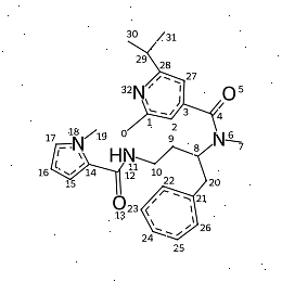 Cc1cc(C(=O)N(C)C(CCNC(=O)c2cccn2C)Cc2ccccc2)cc(C(C)C)n1